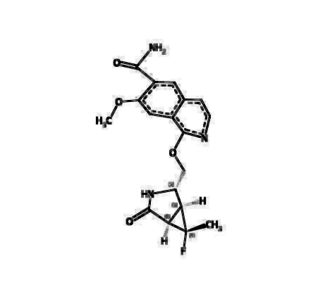 COc1cc2c(OC[C@H]3NC(=O)[C@H]4[C@@H]3[C@]4(C)F)nccc2cc1C(N)=O